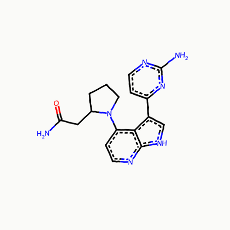 NC(=O)CC1CCCN1c1ccnc2[nH]cc(-c3ccnc(N)n3)c12